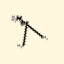 C=C(C)C(=O)OCC(COC(=O)C(CCCCCCCCCCCCCC)CCCCCCCCCCCCCCC)N=O